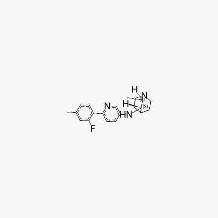 Cc1ccc(-c2ccc(N[C@H]3C4CCN(CC4)[C@@H]3C)cn2)c(F)c1